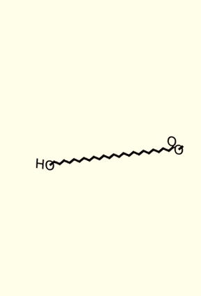 COC(=O)CCCCCCCCCCCCCCCCCCCCCCCCO